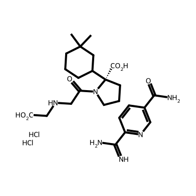 CC1(C)CCCC([C@@]2(C(=O)O)CCCN2C(=O)CNCC(=O)O)C1.Cl.Cl.N=C(N)c1ccc(C(N)=O)cn1